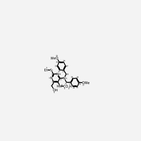 CCSc1nc(CO)c(NC(=O)O)c(N(Cc2ccc(OC)cc2)Cc2ccc(OC)cc2)n1